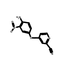 N#Cc1cc(Oc2ccc(N)c([N+](=O)[O-])c2)ccn1